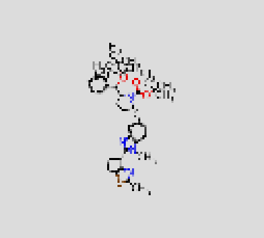 Cc1nc2c(s1)CC[C@@H]2c1nc2cc(C[C@@H]3CC[C@H]([C@H](O[Si](C)(C)C(C)(C)C)c4ccccc4)N3C(=O)OC(C)(C)C)ccc2n1C